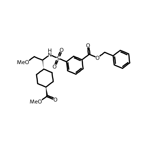 COCC(NS(=O)(=O)c1cccc(C(=O)OCc2ccccc2)c1)[C@H]1CC[C@H](C(=O)OC)CC1